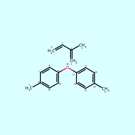 C=CC(=C)C.Cc1ccc(Oc2ccc(C)cc2)cc1